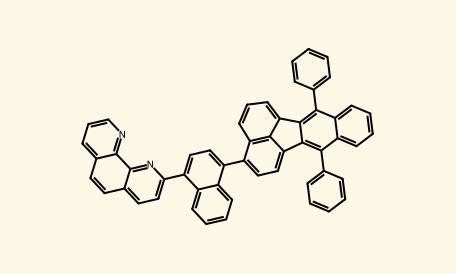 c1ccc(-c2c3c(c(-c4ccccc4)c4ccccc24)-c2ccc(-c4ccc(-c5ccc6ccc7cccnc7c6n5)c5ccccc45)c4cccc-3c24)cc1